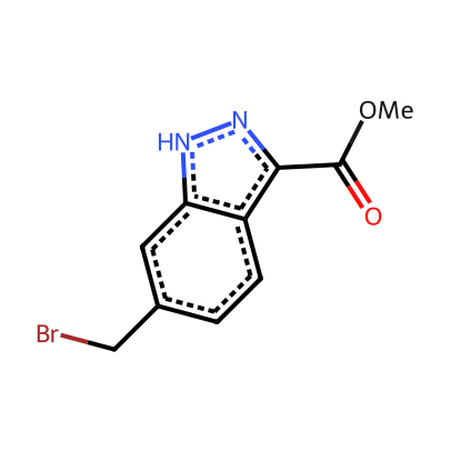 COC(=O)c1n[nH]c2cc(CBr)ccc12